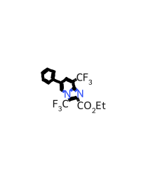 CCOC(=O)c1nc2c(C(F)(F)F)cc(-c3ccccc3)cn2c1C(F)(F)F